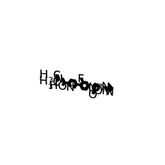 CN(C)CC(O)c1ccc(-c2ccc(N3C[C@H](Cn4ccnn4)OC3=O)cc2F)cn1